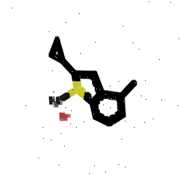 Cc1cccc2c1cc(C1CC1)[s+]2C(F)(F)F.[Br-]